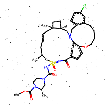 CO[C@H]1/C=C/C[C@H](C)CS(=O)(NC(=O)N2CCN(C(=O)OC(C)(C)C)[C@H](C)C2)=NC(=O)c2ccc3c(c2)N(Cc2ccc(Cl)cc2CCCCO3)C[C@@H]2CC[C@H]21